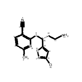 Cc1ccc(C#N)c(S[C@H](CCN)c2cc(Cl)no2)n1